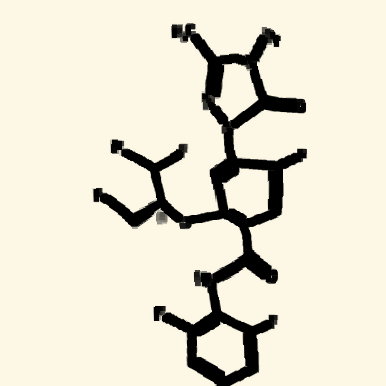 Cc1nn(-c2cc(O[C@@H](CF)C(F)F)c(C(=O)Nc3c(F)cccc3F)cc2F)c(=O)n1C(C)C